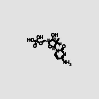 CC1(F)[C@@H](O)[C@@H](COP(=O)(O)O)O[C@H]1n1ccc(N)nc1=O